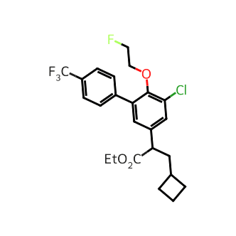 CCOC(=O)C(CC1CCC1)c1cc(Cl)c(OCCF)c(-c2ccc(C(F)(F)F)cc2)c1